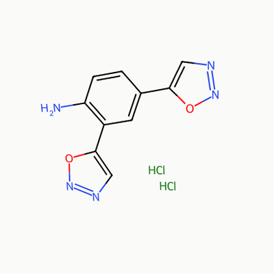 Cl.Cl.Nc1ccc(-c2cnno2)cc1-c1cnno1